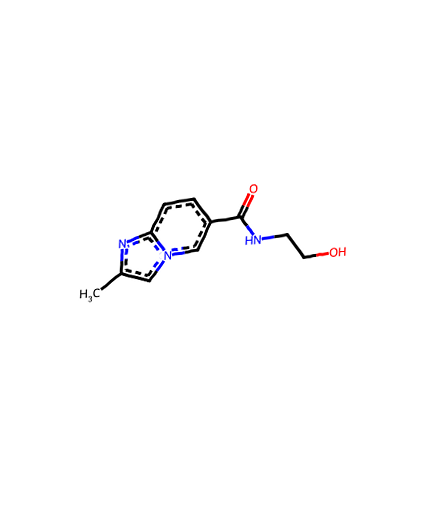 Cc1cn2cc(C(=O)NCCO)ccc2n1